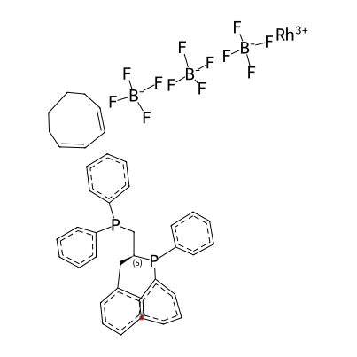 C1=CCCCCC=C1.F[B-](F)(F)F.F[B-](F)(F)F.F[B-](F)(F)F.[Rh+3].c1ccc(C[C@@H](CP(c2ccccc2)c2ccccc2)P(c2ccccc2)c2ccccc2)cc1